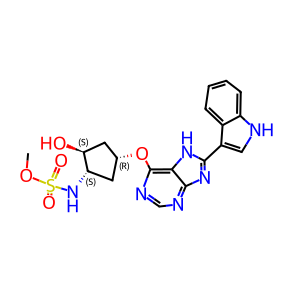 COS(=O)(=O)N[C@H]1C[C@@H](Oc2ncnc3nc(-c4c[nH]c5ccccc45)[nH]c23)C[C@@H]1O